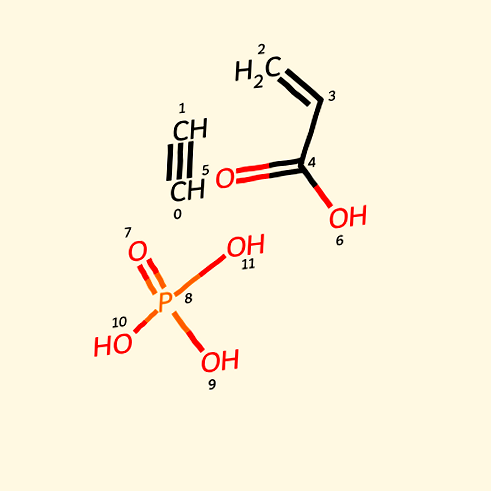 C#C.C=CC(=O)O.O=P(O)(O)O